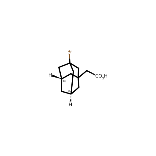 O=C(O)CC12C[C@@H]3C[C@@H](CC(Br)(C3)C1)C2